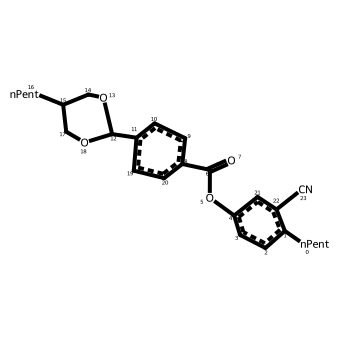 CCCCCc1ccc(OC(=O)c2ccc(C3OCC(CCCCC)CO3)cc2)cc1C#N